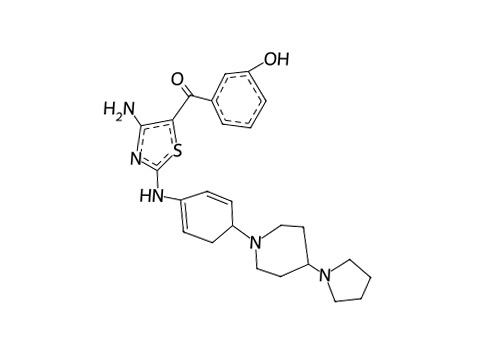 Nc1nc(NC2=CCC(N3CCC(N4CCCC4)CC3)C=C2)sc1C(=O)c1cccc(O)c1